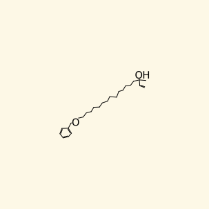 C=CC(C)(O)CCCCCCCCCCCCCCCOCc1ccccc1